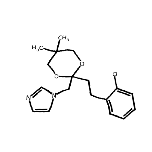 CC1(C)COC(CCc2ccccc2Cl)(Cn2ccnc2)OC1